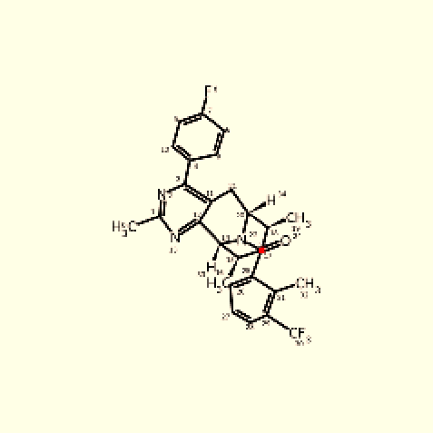 Cc1nc(-c2ccc(F)cc2)c2c(n1)[C@H]1[C@H](C)C[C@H](C)[C@@H](C2)N1C(=O)c1cccc(C(F)(F)F)c1C